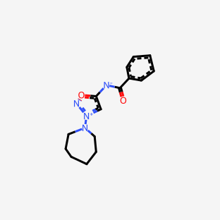 O=C([N-]c1c[n+](N2CCCCCC2)no1)c1ccccc1